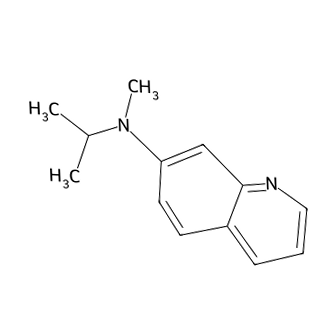 CC(C)N(C)c1ccc2cccnc2c1